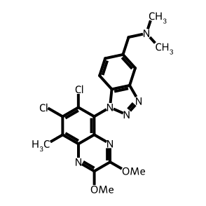 COc1nc2c(C)c(Cl)c(Cl)c(-n3nnc4cc(CN(C)C)ccc43)c2nc1OC